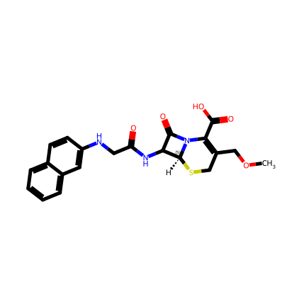 COCC1=C(C(=O)O)N2C(=O)C(NC(=O)CNc3ccc4ccccc4c3)[C@@H]2SC1